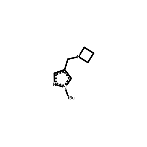 CC(C)(C)n1cc(CN2CCC2)cn1